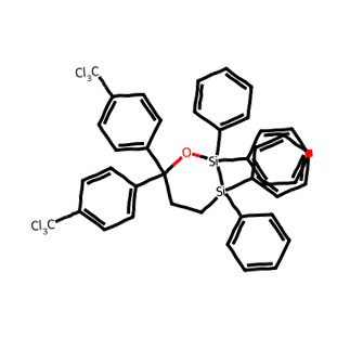 ClC(Cl)(Cl)c1ccc(C2(c3ccc(C(Cl)(Cl)Cl)cc3)CC[Si](c3ccccc3)(c3ccccc3)[Si](c3ccccc3)(c3ccccc3)O2)cc1